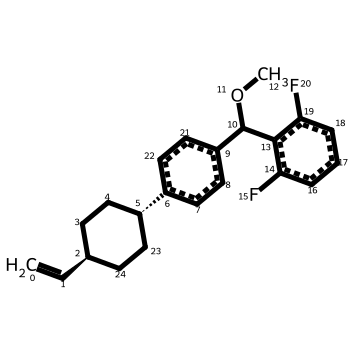 C=C[C@H]1CC[C@H](c2ccc(C(OC)c3c(F)cccc3F)cc2)CC1